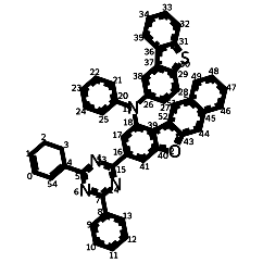 C1=CCCC(c2nc(-c3ccccc3)nc(-c3cc(N(c4ccccc4)c4ccc5sc6ccccc6c5c4)c4c(c3)oc3cc5ccccc5cc34)n2)=C1